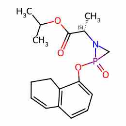 CC(C)OC(=O)[C@H](C)N1CP1(=O)Oc1cccc2c1CCC=C2